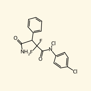 NC(=O)C(c1ccccc1)C(F)(F)C(=O)N(Cl)c1ccc(Cl)cc1